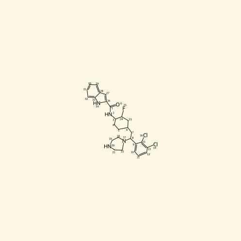 O=C(NC1CCC(CC(c2cccc(Cl)c2Cl)N2CCNCC2)CC1F)c1cc2ccccc2[nH]1